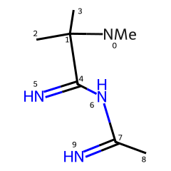 CNC(C)(C)C(=N)NC(C)=N